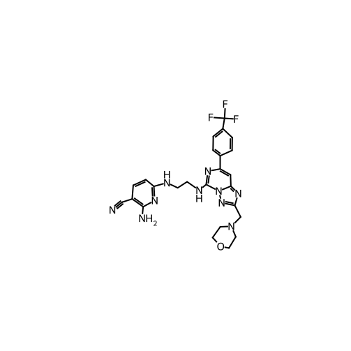 N#Cc1ccc(NCCNc2nc(-c3ccc(C(F)(F)F)cc3)cc3nc(CN4CCOCC4)nn23)nc1N